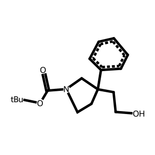 CC(C)(C)OC(=O)N1CCC(CCO)(c2ccccc2)C1